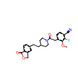 COc1c(CC(=O)N2CCC(CCc3ccc4c(c3)COC4=O)CC2)ccc(C#N)c1F